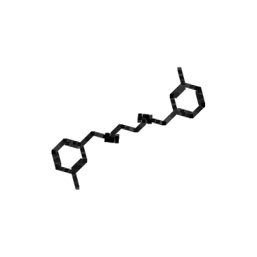 Cc1cccc(CNCCNCc2cccc(C)c2)c1